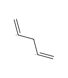 C=[C]C[C]=C